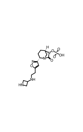 O=C1N2C[C@@H](CC[C@H]2c2cc(CCNC3CNC3)on2)N1OS(=O)(=O)O